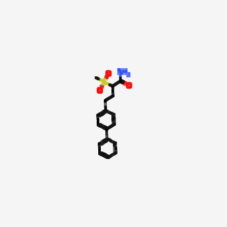 CS(=O)(=O)C(CCc1ccc(-c2ccccc2)cc1)C(N)=O